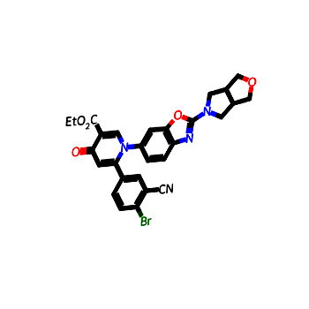 CCOC(=O)c1cn(-c2ccc3nc(N4CC5COCC5C4)oc3c2)c(-c2ccc(Br)c(C#N)c2)cc1=O